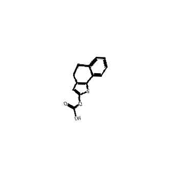 O=C(O)Oc1cc2c(s1)-c1ccccc1CC2